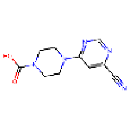 N#Cc1cc(N2CCN(C(=O)O)CC2)ncn1